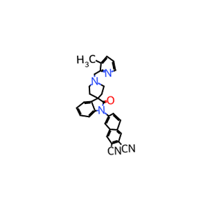 Cc1cccnc1CN1CCC2(CC1)C(=O)N(c1ccc3cc(C#N)c(C#N)cc3c1)c1ccccc12